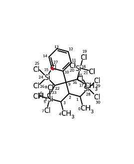 CC(C(C(C)[Si](Cl)(Cl)Cl)C(c1ccccc1)(C(C)[Si](Cl)(Cl)Cl)C(C)[Si](Cl)(Cl)Cl)[Si](Cl)(Cl)Cl